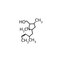 C/C=C\C(C)CC1CC(C)C(CO)N1C